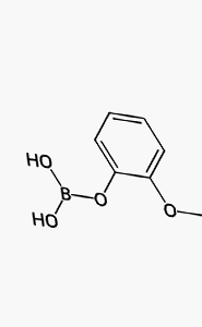 OB(O)Oc1ccccc1OC(F)F